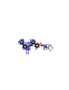 CN(C)CCOc1cc(F)cc(-c2ccnc3[nH]c(-c4n[nH]c5ncc(-c6cncnc6)cc45)cc23)c1